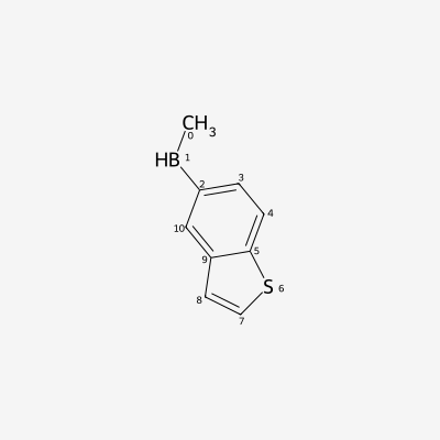 CBc1ccc2sccc2c1